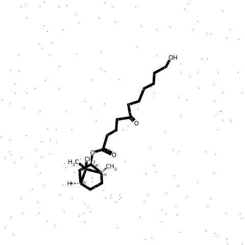 CC1(C)[C@H]2CC[C@]1(C)[C@H](OC(=O)CCCC(=O)CCCCCCO)C2